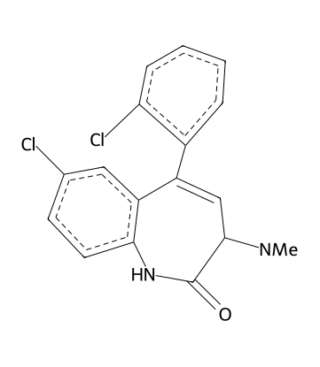 CNC1C=C(c2ccccc2Cl)c2cc(Cl)ccc2NC1=O